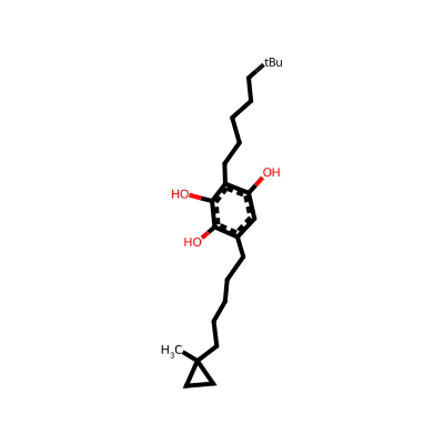 CC(C)(C)CCCCCc1c(O)cc(CCCCCC2(C)CC2)c(O)c1O